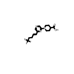 O=C(O)C1CCN(c2cncc(/C=C/CCC(F)(F)F)n2)CC1